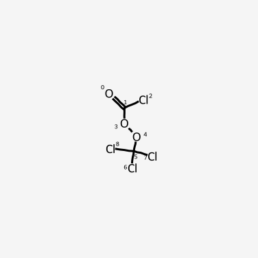 O=C(Cl)OOC(Cl)(Cl)Cl